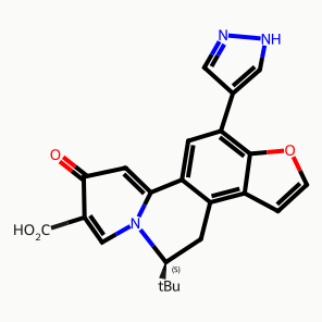 CC(C)(C)[C@@H]1Cc2c(cc(-c3cn[nH]c3)c3occc23)-c2cc(=O)c(C(=O)O)cn21